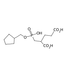 O=C(O)CCC(CP(=O)(O)OCC1CCCC1)C(=O)O